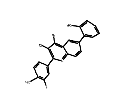 Oc1ccc(-c2nc3ccc(-c4ccccc4O)cc3c(Br)c2Cl)cc1F